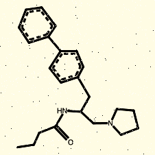 CCCC(=O)NC(Cc1ccc(-c2ccccc2)cc1)CN1CCCC1